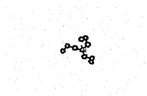 CC1C(c2cccc(-c3cccc4ccccc34)c2)=NC(c2cccc(-c3cccc4ccccc34)c2)=CC1c1ccc(-c2cccc(-c3ccccc3)c2)cc1